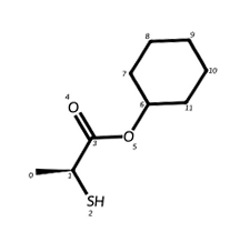 C[C@H](S)C(=O)OC1CCCCC1